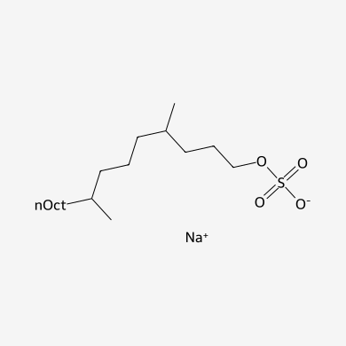 CCCCCCCCC(C)CCCC(C)CCCOS(=O)(=O)[O-].[Na+]